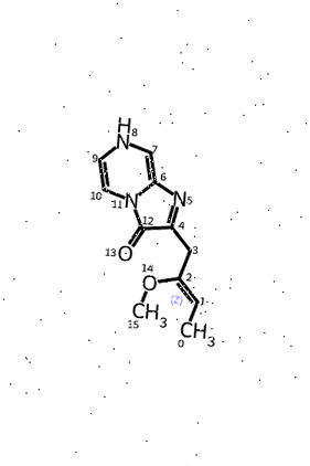 C/C=C(/Cc1nc2c[nH]ccn-2c1=O)OC